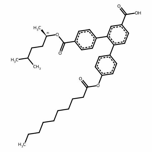 CCCCCCCCCC(=O)Oc1ccc(-c2ccc(C(=O)O)cc2-c2ccc(C(=O)O[C@H](C)CCC(C)C)cc2)cc1